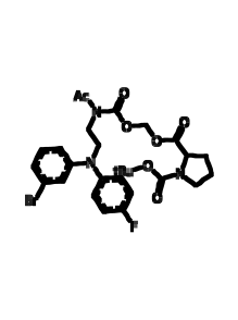 CC(=O)N(CCN(c1ccc(F)cc1)c1cccc(Br)c1)C(=O)OCOC(=O)C1CCCN1C(=O)OC(C)(C)C